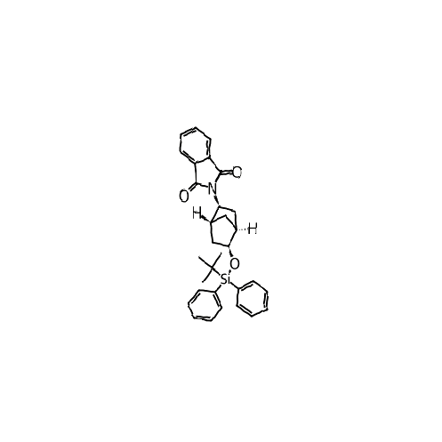 CC(C)(C)[Si](O[C@H]1C[C@H]2C[C@H]1C[C@@H]2N1C(=O)c2ccccc2C1=O)(c1ccccc1)c1ccccc1